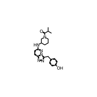 CC(C)C(=O)N1CCCC(Nc2ccc3nnc(Cc4ccc(O)cc4)n3n2)C1